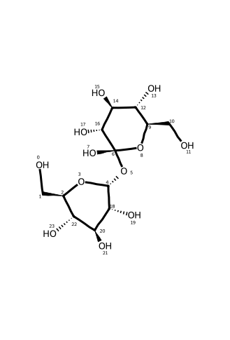 OC[C@H]1O[C@H](O[C@@]2(O)O[C@H](CO)[C@@H](O)[C@H](O)[C@H]2O)[C@H](O)[C@@H](O)[C@@H]1O